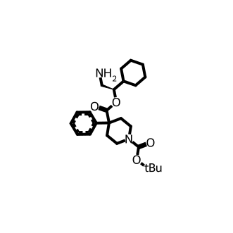 CC(C)(C)OC(=O)N1CCC(C(=O)O[C@@H](CN)C2CCCCC2)(c2ccccc2)CC1